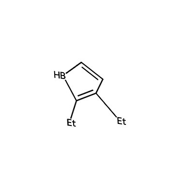 CCC1=C(CC)C=CB1